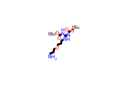 CC(C)(C)OC(=O)/N=C(/NCCCOCCCN)NC(=O)OC(C)(C)C